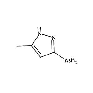 Cc1cc([AsH2])n[nH]1